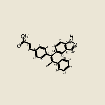 CC(=C(c1ccc(C=CC(=O)O)cc1)c1ccc2[nH]ncc2c1)c1ccccc1